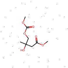 COC(=O)CC(C)(O)COC(=O)OC